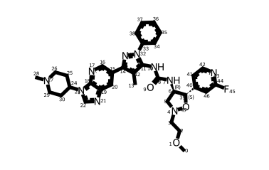 COCCN1C[C@@H](NC(=O)Nc2c(C)c(-c3cnc4c(c3)ncn4C3CCN(C)CC3)nn2-c2ccccc2)[C@H](c2ccnc(F)c2)O1